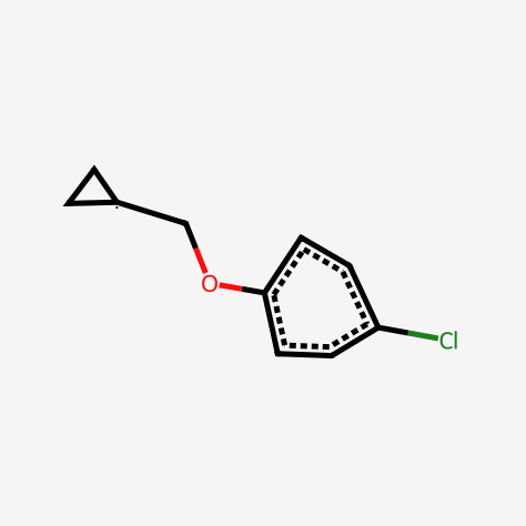 Clc1ccc(OC[C]2CC2)cc1